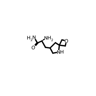 NC(=O)[C@@H](N)CC1CNC2(COC2)C1